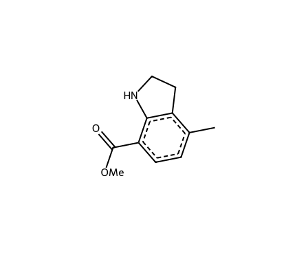 COC(=O)c1ccc(C)c2c1NCC2